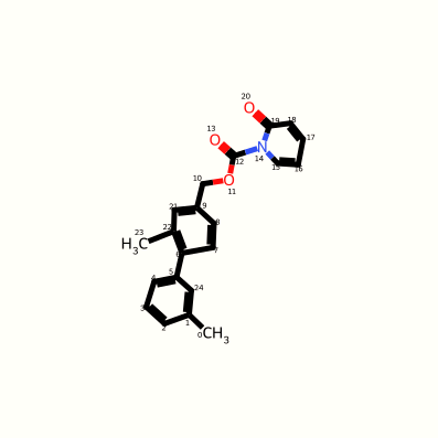 Cc1cccc(-c2ccc(COC(=O)n3ccccc3=O)cc2C)c1